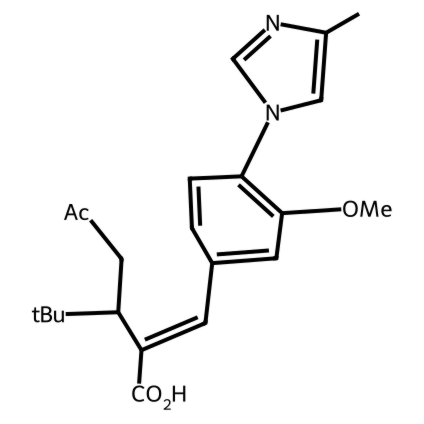 COc1cc(C=C(C(=O)O)C(CC(C)=O)C(C)(C)C)ccc1-n1cnc(C)c1